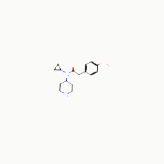 COc1ccc(CC(=O)N(C2CCNCC2)C2CC2)cc1